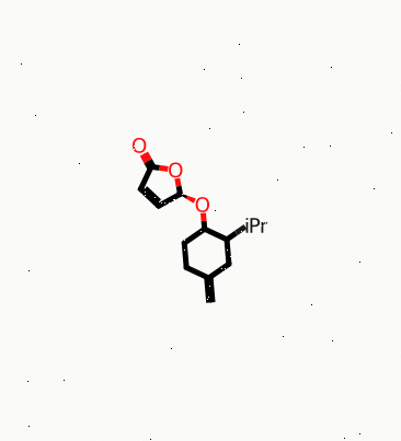 C=C1CCC(O[C@H]2C=CC(=O)O2)C(C(C)C)C1